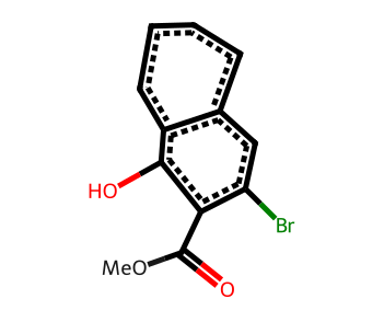 COC(=O)c1c(Br)cc2ccccc2c1O